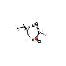 CC(=O)N[C@@H](CCCNC(=N)N)C(=O)NC1CC(=O)NCCCC[C@@H](C(N)=O)NC(=O)[C@H](Cc2c[nH]c3ccccc23)NC(=O)[C@H](CCCCN)NC(=O)[C@@H](Cc2ccccc2)NC(=O)[C@H](CO)NC1=O